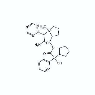 C[N+]1(C(C(N)=O)c2ncncn2)CCCC1COC(=O)C(O)(c1ccccc1)C1CCCC1